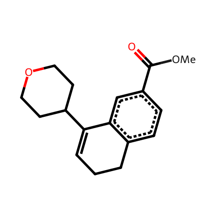 COC(=O)c1ccc2c(c1)C(C1CCOCC1)=CCC2